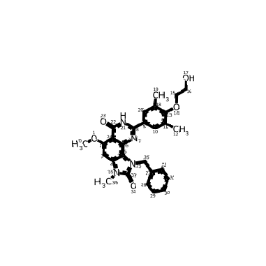 COc1cc2c(c3nc(-c4cc(C)c(OCCO)c(C)c4)[nH]c(=O)c13)n(Cc1ccccc1)c(=O)n2C